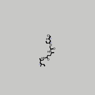 C=C/C(C)=C\C(=C)CNC(=O)CCC(=C)NC(=O)CO/C(C=C)=C/C(F)=C/Cl